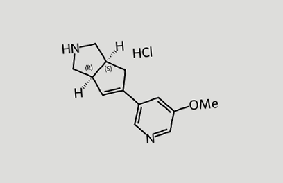 COc1cncc(C2=C[C@H]3CNC[C@H]3C2)c1.Cl